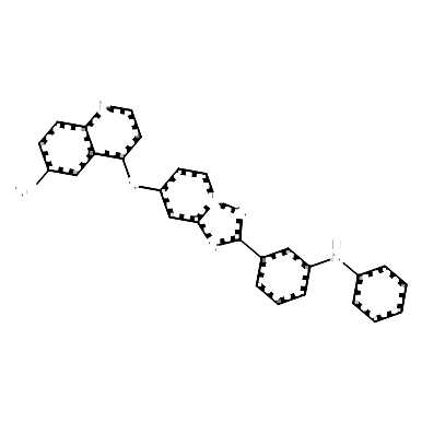 N#Cc1ccc2nccc(Nc3ccn4nc(-c5cccc(Nc6ccccc6)c5)nc4c3)c2c1